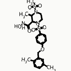 Cc1ccc(C)c(COc2ccc(S(=O)(=O)N3CCN(S(C)(=O)=O)C(C)C3C(=O)NO)cc2)c1